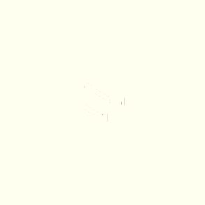 [O]=[AlH].[O]=[GaH]